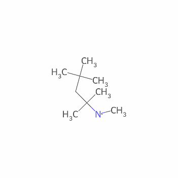 C[N]C(C)(C)CC(C)(C)C